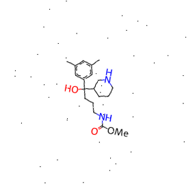 COC(=O)NCCCC(O)(c1cc(C)cc(C)c1)C1CCCNC1